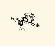 Cc1cc(C[C@H](NC(=O)OC(C)(C)C)C(=O)O)n(C)n1